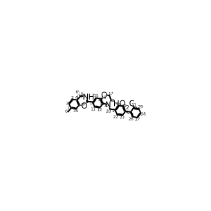 Cc1ccc([C@H](C)NC(=O)c2ccc3c(c2)OCCN3Cc2ccc(-c3ccccc3C(=O)O)cc2)cc1